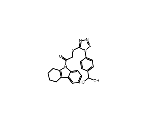 O=C(CSc1nnnn1-c1ccc(C(O)O)cc1)n1c2c(c3ccccc31)CCCC2